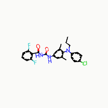 CCCN(c1ccc(Cl)cc1)c1c(C)cc(NC(=O)NC(=O)c2c(F)cccc2F)cc1C